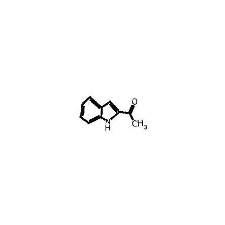 CC(=O)c1cc2ccccc2[nH]1